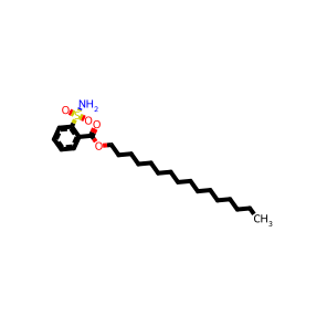 CCCCCCCCCCCCCCCCOC(=O)c1ccccc1S(N)(=O)=O